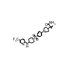 NC(=O)C1(C2CCN(c3ccc(S(=O)(=O)N4CCC(Nc5ccc(C(F)(F)F)cn5)CC4)cc3)CC2)CC1